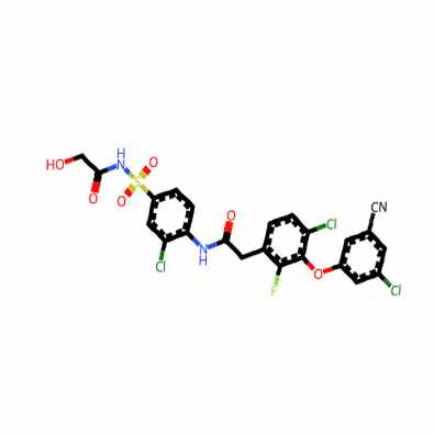 N#Cc1cc(Cl)cc(Oc2c(Cl)ccc(CC(=O)Nc3ccc(S(=O)(=O)NC(=O)CO)cc3Cl)c2F)c1